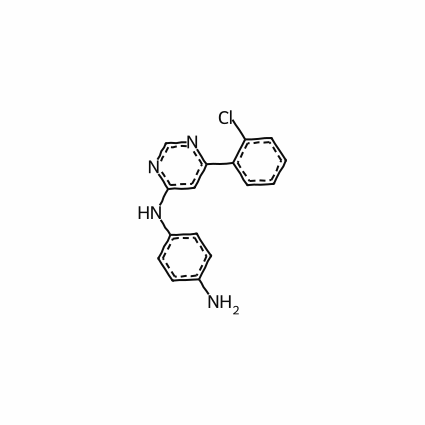 Nc1ccc(Nc2cc(-c3ccccc3Cl)ncn2)cc1